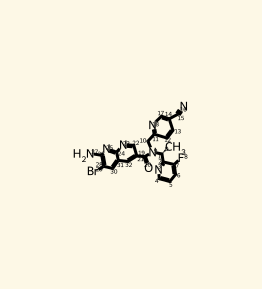 C[C@H](c1ncccc1F)N(Cc1ccc(C#N)cn1)C(=O)c1cnc2nc(N)c(Br)cc2c1